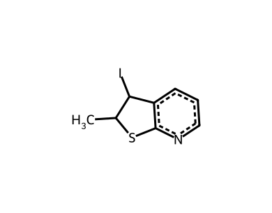 CC1Sc2ncccc2C1I